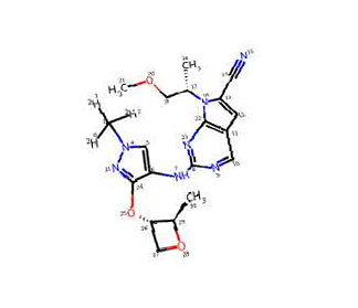 [2H]C([2H])([2H])n1cc(Nc2ncc3cc(C#N)n([C@@H](C)COC)c3n2)c(O[C@H]2CO[C@@H]2C)n1